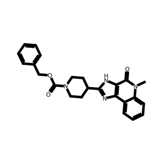 Cn1c(=O)c2[nH]c(C3CCN(C(=O)OCc4ccccc4)CC3)nc2c2ccccc21